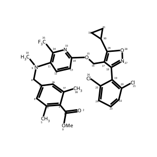 COC(=O)c1c(C)cc(CN(C)c2ccc(OCc3c(-c4c(Cl)cccc4Cl)noc3C3CC3)nc2C(F)(F)F)cc1C